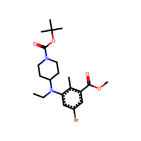 CCN(c1cc(Br)cc(C(=O)OC)c1C)C1CCN(C(=O)OC(C)(C)C)CC1